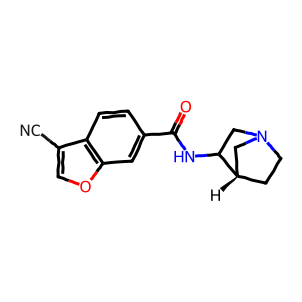 N#Cc1coc2cc(C(=O)NC3CN4CC[C@H]3C4)ccc12